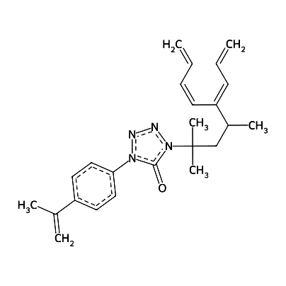 C=C/C=C\C(=C/C=C)C(C)CC(C)(C)n1nnn(-c2ccc(C(=C)C)cc2)c1=O